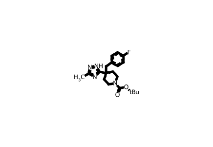 Cc1n[nH]c(C2(Cc3ccc(F)cc3)CCN(C(=O)OC(C)(C)C)CC2)n1